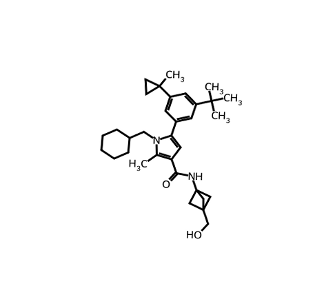 Cc1c(C(=O)NC23CC(CO)(C2)C3)cc(-c2cc(C(C)(C)C)cc(C3(C)CC3)c2)n1CC1CCCCC1